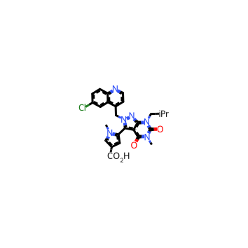 CC(C)Cn1c(=O)n(C)c(=O)c2c(-c3cc(C(=O)O)cn3C)n(Cc3ccnc4ccc(Cl)cc34)nc21